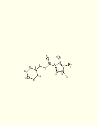 CCc1c(Br)c(C(=O)CCN2CCOCC2)nn1C